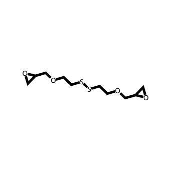 C(CSSCCOCC1CO1)OCC1CO1